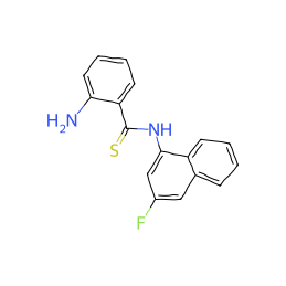 Nc1ccccc1C(=S)Nc1cc(F)cc2ccccc12